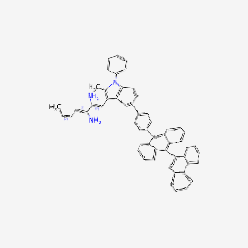 C\C=C/C=C(N)/C(N)=C/c1c(C)n(-c2ccccc2)c2ccc(-c3ccc(-c4c5ccccc5c(-c5cc6ccccc6c6ccccc56)c5ccccc45)cc3)cc12